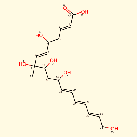 CC(O)(/C=C/C(O)C/C=C/C(=O)O)C(O)CC(O)/C=C/C=C/C=C/CO